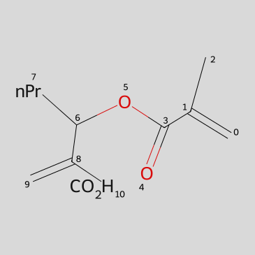 C=C(C)C(=O)OC(CCC)C(=C)C(=O)O